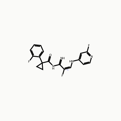 N=C(NC(=O)C1(c2ccccc2F)CC1)/C(F)=C\Nc1ccnc(F)c1